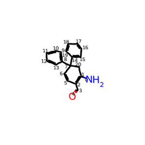 NC1=C(C=O)C=CC(c2ccccc2)(c2ccccc2)C1